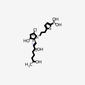 C[C@@H](O)CCC[C@H](O)/C=C/[C@@H]1[C@@H](CCCc2ccc(P(O)O)s2)[C@H](Cl)C[C@H]1O